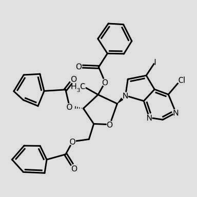 CC1(OC(=O)c2ccccc2)[C@@H](n2cc(I)c3c(Cl)ncnc32)OC(COC(=O)c2ccccc2)[C@@H]1OC(=O)c1ccccc1